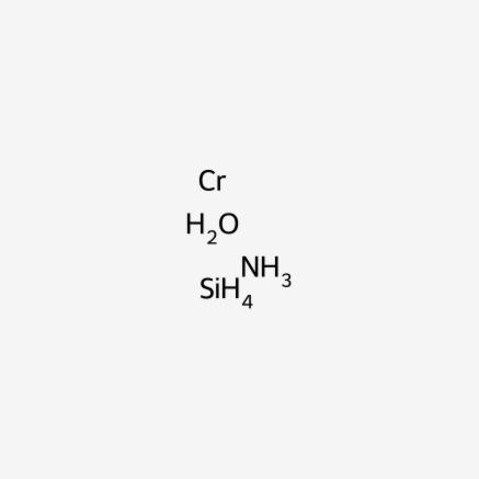 N.O.[Cr].[SiH4]